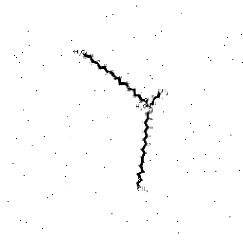 CCCCCCCCCCCCCCCCCCO[N+](C)(CCCC)OCCCCCCCCCCCCCCCCCC